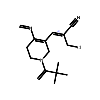 C=NC1=C(/C=C(/C#N)CCl)CN(C(=C)C(C)(C)C)CC1